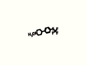 CN1CCC(c2ccc(SC(F)(F)F)cc2)CC1